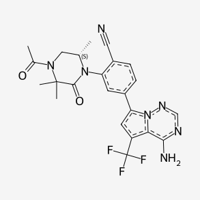 CC(=O)N1C[C@H](C)N(c2cc(-c3cc(C(F)(F)F)c4c(N)ncnn34)ccc2C#N)C(=O)C1(C)C